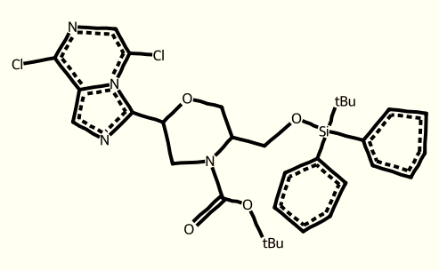 CC(C)(C)OC(=O)N1CC(c2ncc3c(Cl)ncc(Cl)n23)OCC1CO[Si](c1ccccc1)(c1ccccc1)C(C)(C)C